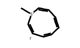 C[s+]1cccccccc1.[I-]